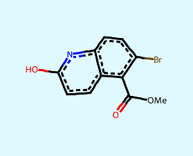 COC(=O)c1c(Br)ccc2nc(O)ccc12